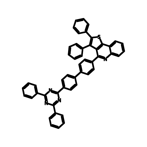 c1ccc(-c2nc(-c3ccccc3)nc(-c3ccc(-c4ccc(-c5nc6ccccc6c6sc(-c7ccccc7)c(-c7ccccc7)c56)cc4)cc3)n2)cc1